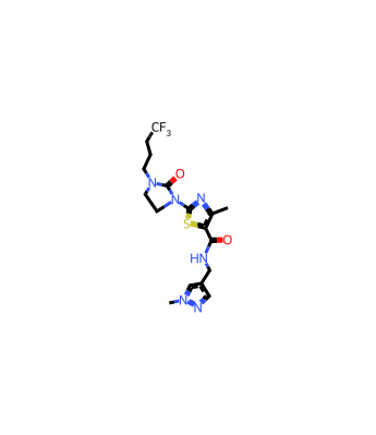 Cc1nc(N2CCN(CCCC(F)(F)F)C2=O)sc1C(=O)NCc1cnn(C)c1